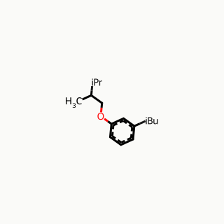 CCC(C)c1cccc(OCC(C)C(C)C)c1